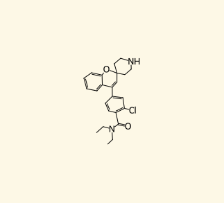 CCN(CC)C(=O)c1ccc(C2=CC3(CCNCC3)Oc3ccccc32)cc1Cl